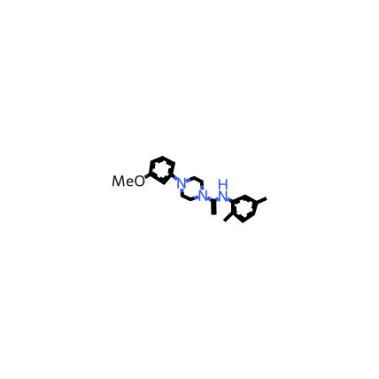 C=C(Nc1cc(C)ccc1C)N1CCN(c2cccc(OC)c2)CC1